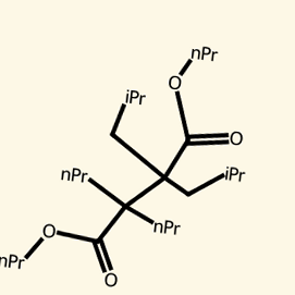 CCCOC(=O)C(CCC)(CCC)C(CC(C)C)(CC(C)C)C(=O)OCCC